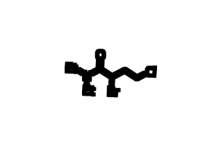 CCN(CC)C(=O)C(Br)CCCl